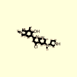 Cc1c(O)c(-c2cc(Cl)c3cc(N(C)C4CCNC4)cnc3n2)cc2cn(C)nc12